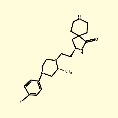 C[C@@H]1CN(c2ccc(F)cc2)CCN1CC[C@H]1CC2(CCNCC2)C(=O)N1